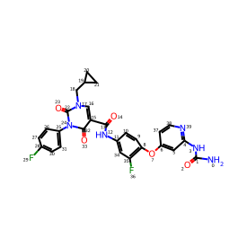 NC(=O)Nc1cc(Oc2ccc(NC(=O)c3cn(CC4CC4)c(=O)n(-c4ccc(F)cc4)c3=O)cc2F)ccn1